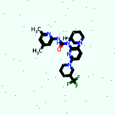 Cc1cc(C)nc(NC(=O)N2c3nc(N4CCCC(C(F)(F)F)C4)ccc3N3CCC[C@H]2C3)c1